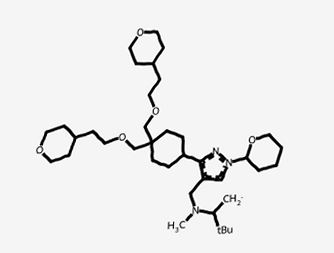 [CH2]C(N(C)Cc1cn(C2CCCCO2)nc1C1CCC(COCCC2CCOCC2)(COCCC2CCOCC2)CC1)C(C)(C)C